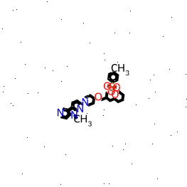 Cc1ccc(S(=O)(=O)OCC(COC2CCN(c3ccc4c5cnccc5n(C)c4n3)CC2)CC2CCCCO2)cc1